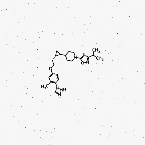 Cc1cc(OCC[C@@H]2CC2C2CCN(c3nc(C(C)C)no3)CC2)ccc1-n1cn[nH]1